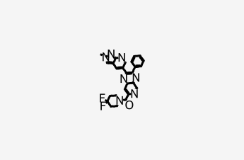 Cn1cc2cc(-c3nc4cc(C(=O)N5CCC(F)(F)CC5)ncc4nc3-c3ccccc3)cnc2n1